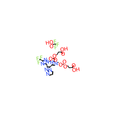 O=C(O)C(F)(F)F.O=C(O)CCOC(=O)OCn1cnc(-c2c(-c3nc(C(F)(F)F)nn3COC(=O)OCCC(=O)O)nc3ncccn23)c1